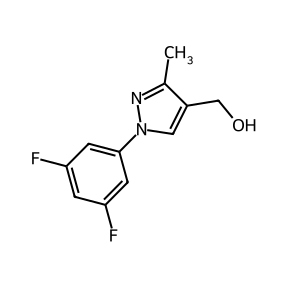 Cc1nn(-c2cc(F)cc(F)c2)cc1CO